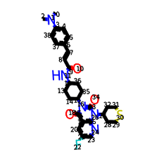 CN(C)c1ccc(C=CC(=O)NC2CCC(n3c(=O)c4cc(F)cnc4n(C4CCSCC4)c3=O)CC2)cc1